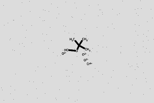 CC(C)(C)OO.[Cr+6].[O-2].[O-2].[O-2]